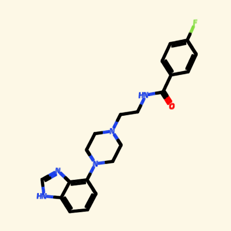 O=C(NCCN1CCN(c2cccc3[nH]cnc23)CC1)c1ccc(F)cc1